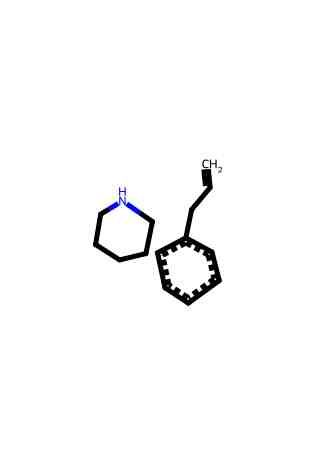 C1CCNCC1.C=CCc1ccccc1